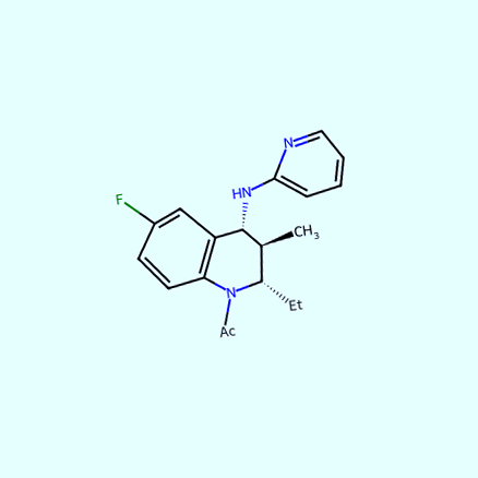 CC[C@H]1[C@H](C)[C@@H](Nc2ccccn2)c2cc(F)ccc2N1C(C)=O